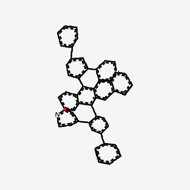 c1ccc(-c2ccc(-c3c4ccccc4c(-c4ccc(-c5ccccc5)cc4-c4ccncc4)c4cc5ccccc5cc34)c(-c3ccncc3)c2)cc1